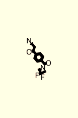 N#CCC(=O)c1ccc(C(=O)N2CC(F)(F)C2)cc1